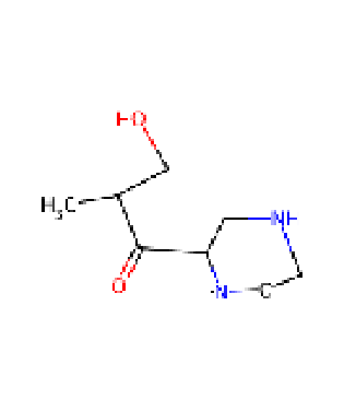 CC(CO)C(=O)C1CNCC[N]1